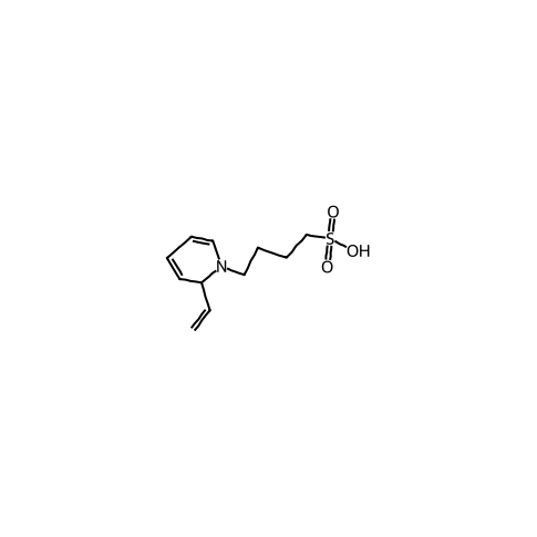 C=CC1C=CC=CN1CCCCS(=O)(=O)O